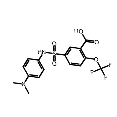 CN(C)c1ccc(NS(=O)(=O)c2ccc(OC(F)(F)F)c(C(=O)O)c2)cc1